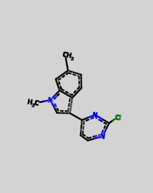 Cc1ccc2c(-c3ccnc(Cl)n3)cn(C)c2c1